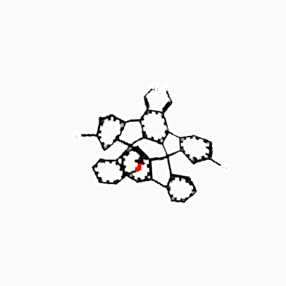 C/C=c1/c2c(c3c(/c1=C/C)-c1ccc(Br)cc1C31c3ccccc3-c3ccccc31)C1(c3ccccc3-c3ccccc31)c1cc(Br)ccc1-2